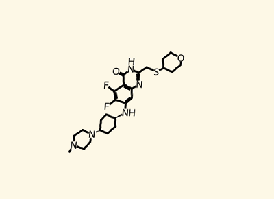 CN1CCN([C@H]2CC[C@H](Nc3cc4nc(CSC5CCOCC5)[nH]c(=O)c4c(F)c3F)CC2)CC1